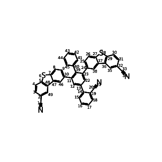 N#Cc1ccc2sc3ccc(-c4cc(-c5ccccc5C#N)cc(-c5ccc6sc7ccc(C#N)cc7c6c5)c4-c4ccccc4)cc3c2c1